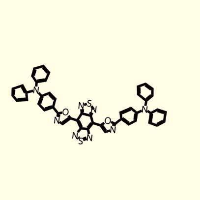 c1ccc(N(c2ccccc2)c2ccc(-c3ncc(-c4c5c(c(-c6cnc(-c7ccc(N(c8ccccc8)c8ccccc8)cc7)o6)c6nsnc46)N=S=N5)o3)cc2)cc1